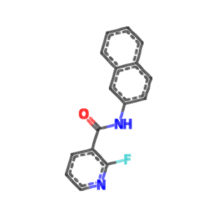 O=C(Nc1ccc2ccccc2c1)c1cccnc1F